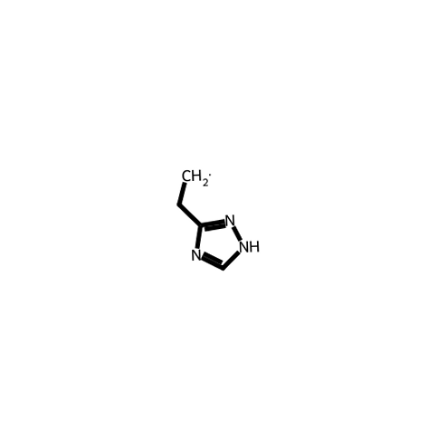 [CH2]Cc1nc[nH]n1